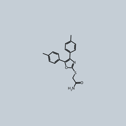 Cc1ccc(-c2nc(SCC(N)=O)oc2-c2ccc(C)cc2)cc1